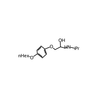 [CH2]CCCCCOc1ccc(OCC(O)CNC(C)C)cc1